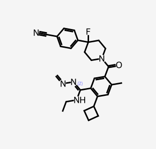 C=N/N=C(\NCC)c1cc(C(=O)N2CCC(F)(c3ccc(C#N)cc3)CC2)c(C)cc1C1CCC1